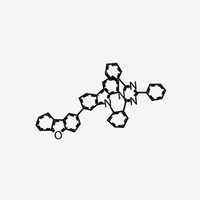 c1ccc(-c2nc(-c3ccccc3)nc(-c3ccccc3-n3c4ccccc4c4ccc(-c5ccc6oc7ccccc7c6c5)cc43)n2)cc1